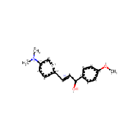 COc1ccc(C(O)/C=C/c2ccc(N(C)C)cc2)cc1